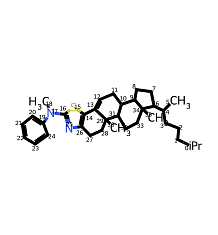 CC(C)CCCC(C)C1CCC2C3CC=C4c5sc(N(C)c6ccccc6)nc5CCC4(C)C3CCC12C